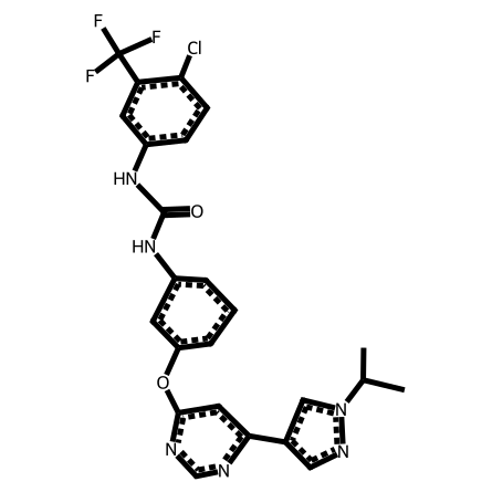 CC(C)n1cc(-c2cc(Oc3cccc(NC(=O)Nc4ccc(Cl)c(C(F)(F)F)c4)c3)ncn2)cn1